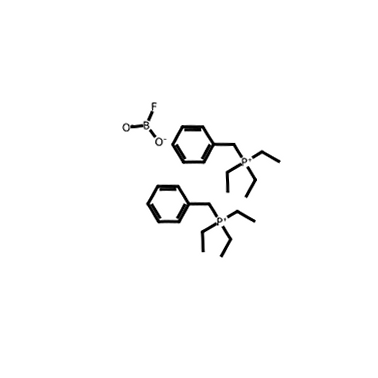 CC[P+](CC)(CC)Cc1ccccc1.CC[P+](CC)(CC)Cc1ccccc1.[O-]B([O-])F